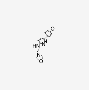 COc1ccc(-c2cc(C)c(NCCN3CCOCC3)nn2)cc1